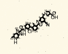 Cc1c(-c2nc3cc(CN4CC[C@@H](C(=O)O)C4)cc(C#N)c3o2)cccc1-c1cccc(NC(=O)c2nc3c(n2C)CC(C)NC3)c1Cl